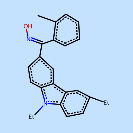 CCc1ccc2c(c1)c1cc(C(=NO)c3ccccc3C)ccc1n2CC